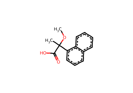 COC(C)(C(=O)O)c1cccc2ccccc12